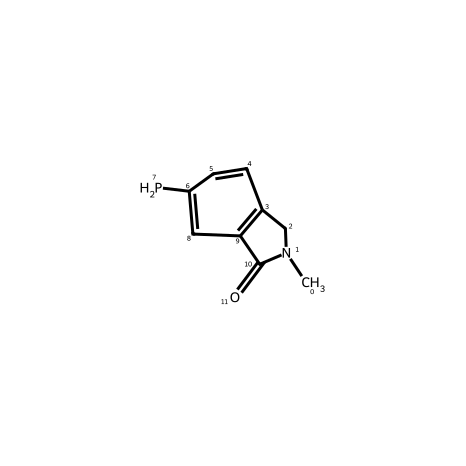 CN1Cc2ccc(P)cc2C1=O